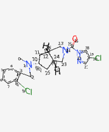 CN(Cc1ccccc1Cl)[C@@H]1C[C@@H]2CN(C(=O)n3cc(Cl)cn3)C[C@@H]2C1